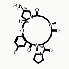 CN1CCC(=O)N2C[C@H](N)C[C@H]2COc2ccc(F)cc2C(=O)N(C)[C@H](C(=O)N2CCCC2)CCC1=O